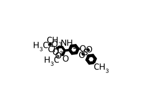 COC(=O)C(c1ccc(OS(=O)(=O)c2ccc(C)cc2)cc1)C(N)C(=O)OC(C)(C)C